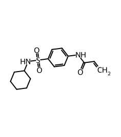 C=CC(=O)Nc1ccc(S(=O)(=O)NC2CCCCC2)cc1